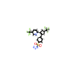 NS(=O)(=O)c1ccc(C2=C(c3ccc(C(F)(F)F)cn3)CC(C(F)(F)F)C2)cc1